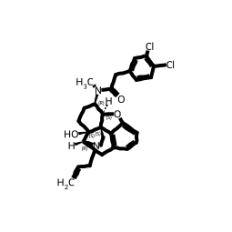 C=CCN1CC[C@]23c4c5cccc4O[C@@H]2[C@H](N(C)C(=O)Cc2ccc(Cl)c(Cl)c2)CC[C@@]3(O)[C@H]1C5